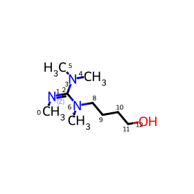 C/N=C(/N(C)C)N(C)CCCCO